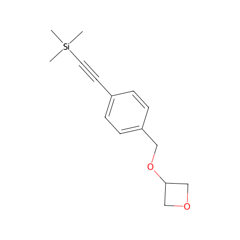 C[Si](C)(C)C#Cc1ccc(COC2COC2)cc1